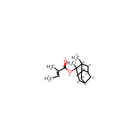 CC=C(C)C(=O)OC1(C)C2CC3CC(C2)CC1(C)C3